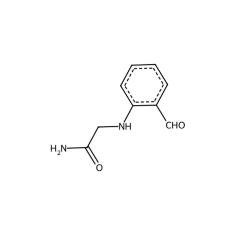 NC(=O)CNc1ccccc1C=O